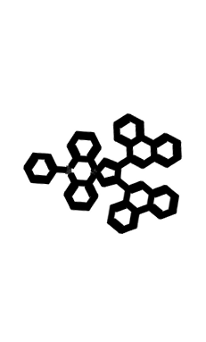 C1=C(c2cc3ccccc3c3ccccc23)C(c2cc3ccccc3c3ccccc23)=C[Si]12c1ccccc1B(c1ccccc1)c1ccccc12